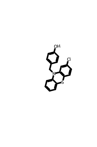 Oc1ccc(CN2c3ccccc3Sc3ccc(Cl)cc32)cc1